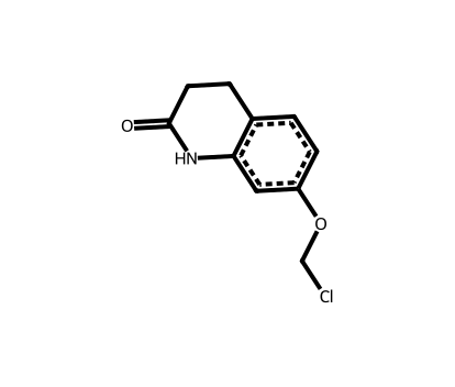 O=C1CCc2ccc(OCCl)cc2N1